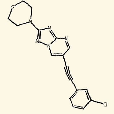 Clc1cccc(C#Cc2cnc3nc(N4CCOCC4)nn3c2)c1